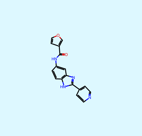 O=C(Nc1ccc2[nH]c(-c3ccncc3)nc2c1)c1ccoc1